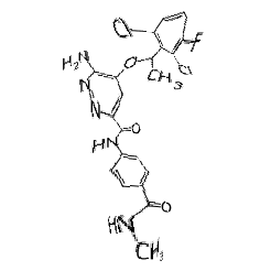 CNC(=O)c1ccc(NC(=O)c2cc(OC(C)c3c(Cl)ccc(F)c3Cl)c(N)nn2)cc1